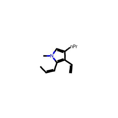 C=Cc1c(CCC)cn(C)c1/C=C\C